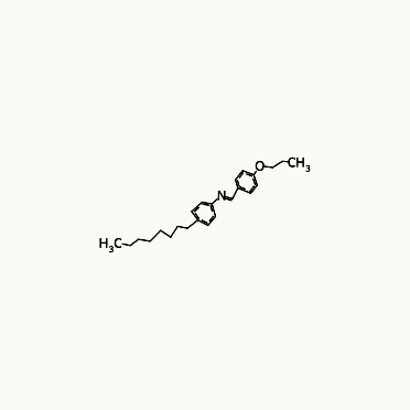 CCCCCCCCc1ccc(N=Cc2ccc(OCCC)cc2)cc1